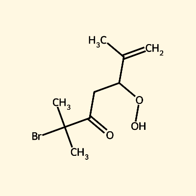 C=C(C)C(CC(=O)C(C)(C)Br)OO